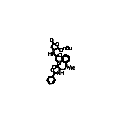 CCCCOC1OC(=O)C[C@@H]1NC(=O)CN1C(=O)[C@@H](NC(=O)c2ccccc2)CN(C(C)=O)c2ccccc21